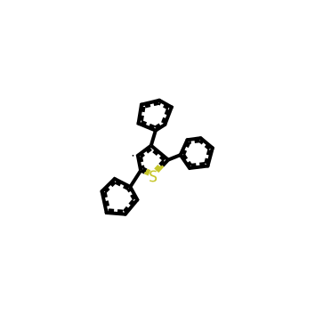 [c]1c(-c2ccccc2)sc(-c2ccccc2)c1-c1ccccc1